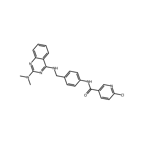 CN(C)c1nc(NCc2ccc(NC(=O)c3ccc(Cl)nc3)cc2)c2ccccc2n1